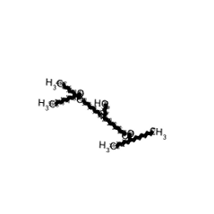 CCCCCCCCC(CCCCCC)C(=O)OCCCCCCCCN(CCCO)CCCCCCCCOC(=O)C(CCCCCC)CCCCCCCC